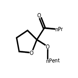 CCCCCOC1(C(=O)CCC)CCCO1